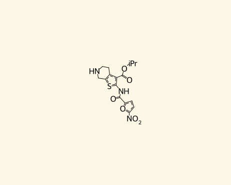 CC(C)OC(=O)c1c(NC(=O)c2ccc([N+](=O)[O-])o2)sc2c1CCNC2